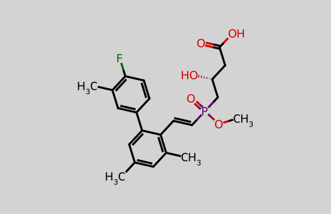 COP(=O)(C=Cc1c(C)cc(C)cc1-c1ccc(F)c(C)c1)C[C@H](O)CC(=O)O